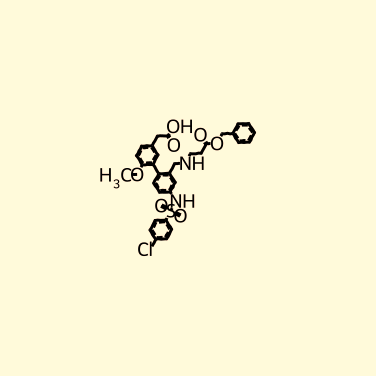 COc1ccc(CC(=O)O)cc1-c1ccc(NS(=O)(=O)c2ccc(Cl)cc2)cc1CNCCC(=O)OCc1ccccc1